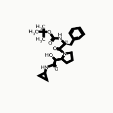 CC(C)(C)OC(=O)N[C@@H](Cc1ccccc1)C(=O)N1CCCC1C(O)C(=O)NC1CC1